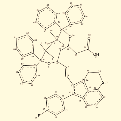 CC(C)(C)[Si](OC(/C=C/c1c(-c2ccc(F)cc2)c2cccc3c2n1CCS3)CC(CC(=O)O)O[Si](c1ccccc1)(c1ccccc1)C(C)(C)C)(c1ccccc1)c1ccccc1